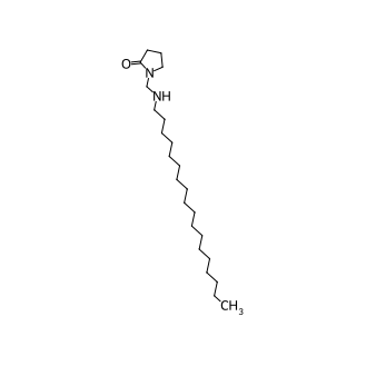 CCCCCCCCCCCCCCCCCCNCN1CCCC1=O